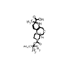 CC(C)(C)OC(=O)N1CCN2C3=C(COC[C@H]2C1)NC(C)(C(=O)O)C=C3